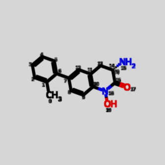 Cc1ccccc1-c1ccc2c(c1)C[C@H](N)C(=O)N2O